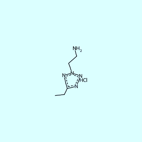 CCc1nnn(CCN)n1.Cl